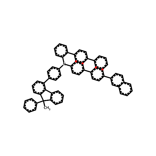 CC1(c2ccccc2)c2ccccc2-c2c(-c3ccc(N(c4ccc(-c5ccc(-c6ccc7ccccc7c6)cc5)cc4)c4ccccc4-c4ccc(-c5ccccc5)cc4)cc3)cccc21